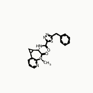 CN1C(=O)[C@@H](NC(=O)c2nnc(Cc3ccccc3)s2)C2CC2c2cccnc21